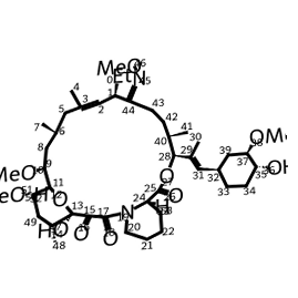 CC[C@@H]1/C=C(\C)C[C@H](C)C[C@H](OC)[C@H]2O[C@@](O)(C(=O)C(=O)N3CCCC[C@H]3C(=O)O[C@H](/C(C)=C/[C@@H]3CC[C@@H](O)[C@H](OC)C3)[C@H](C)CC/C1=N/OC)[C@H](C)C[C@@H]2OC